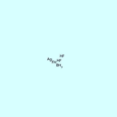 B.F.F.F.[Ag]